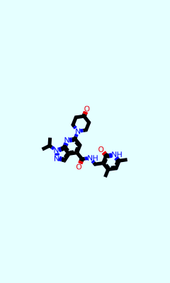 Cc1cc(C)c(CNC(=O)c2cc(N3CCC(=O)CC3)nc3c2cnn3C(C)C)c(=O)[nH]1